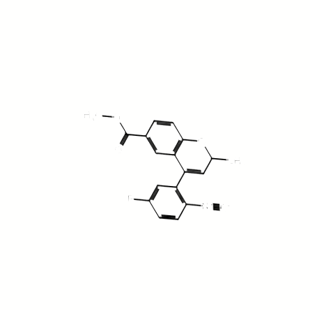 [C-]#[N+]c1ccc(F)cc1C1=CC(C)Oc2ccc(C(=O)OC)cc21